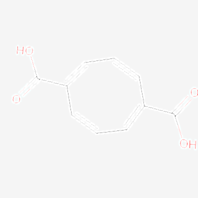 O=C(O)C1=CC=CC(C(=O)O)=CC=C1